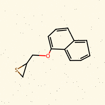 c1ccc2c(OCC3CS3)cccc2c1